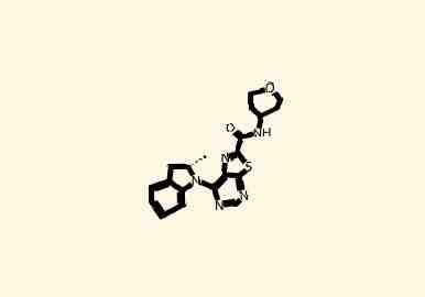 C[C@H]1Cc2ccccc2N1c1ncnc2sc(C(=O)NC3CCOCC3)nc12